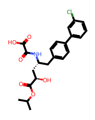 CC(C)OC(=O)[C@H](O)C[C@@H](Cc1ccc(-c2cccc(Cl)c2)cc1)NC(=O)C(=O)O